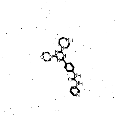 O=C(Nc1ccc(-c2nc(N3CCCNCC3)nc(N3CCOCC3)n2)cc1)Nc1cccnc1